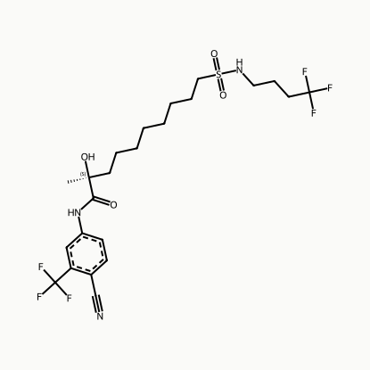 C[C@](O)(CCCCCCCCS(=O)(=O)NCCCC(F)(F)F)C(=O)Nc1ccc(C#N)c(C(F)(F)F)c1